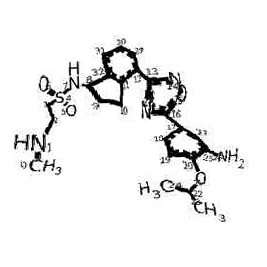 CNCCS(=O)(=O)N[C@H]1CCc2c(-c3noc(-c4ccc(OC(C)C)c(N)c4)n3)cccc21